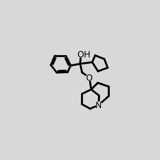 OC(COC12CCCN(CCC1)C2)(c1ccccc1)C1CCCC1